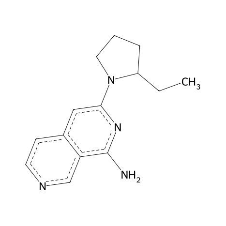 CCC1CCCN1c1cc2ccncc2c(N)n1